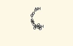 O=C1CCC(N2Cc3cc(N4CCN(CCCCOc5ccc(C6CCNCC6)cc5)CC4)ccc3C2=O)C(=O)N1